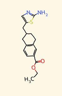 CCOC(=O)c1ccc2c(c1)CCC(Cc1cnc(N)s1)C2